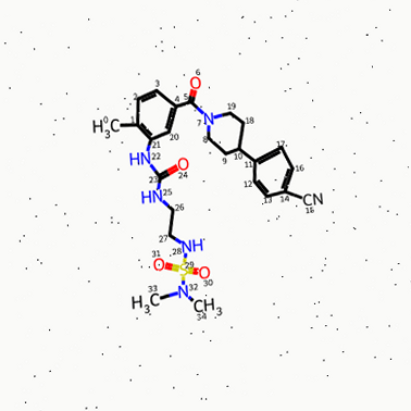 Cc1ccc(C(=O)N2CCC(c3ccc(C#N)cc3)CC2)cc1NC(=O)NCCNS(=O)(=O)N(C)C